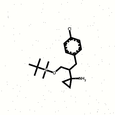 CC(C)(C)[Si](C)(C)OCC(Cc1ccc(Cl)cc1)C1(N)CC1